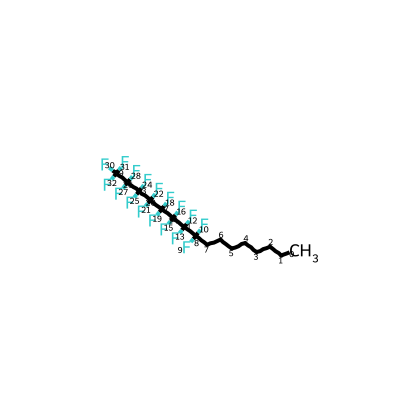 CCCCCCCCC(F)(F)C(F)(F)C(F)(F)C(F)(F)C(F)(F)C(F)(F)C(F)(F)C(F)(F)F